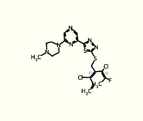 C=C/C(Cl)=C(CSc1nnc(-c2cncc(N3CCN(C)CC3)n2)s1)\C(Cl)=C(/C)F